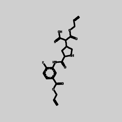 C=CCOC(=O)c1ccc(F)c(NC(=O)C2CC(C(C(=O)OCC=C)C(O)=S)CN2)c1